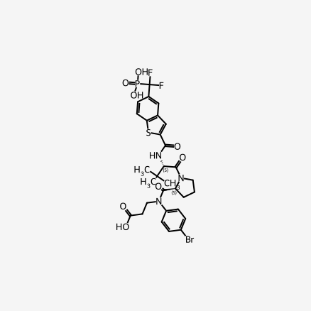 CC(C)(C)[C@H](NC(=O)c1cc2cc(C(F)(F)P(=O)(O)O)ccc2s1)C(=O)N1CCC[C@H]1C(=O)N(CCC(=O)O)c1ccc(Br)cc1